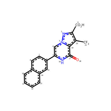 O=C(O)c1nn2cc(-c3ccc4ccccc4c3)[nH]c(=O)c2c1C(F)(F)F